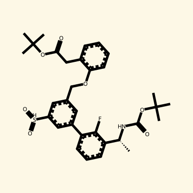 C[C@@H](NC(=O)OC(C)(C)C)c1cccc(-c2cc(COc3ccccc3CC(=O)OC(C)(C)C)cc([SH](=O)=O)c2)c1F